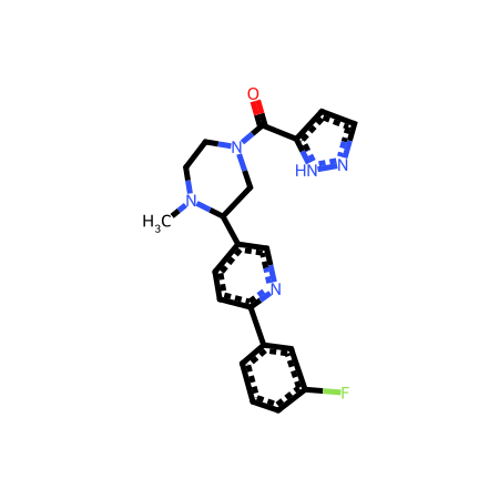 CN1CCN(C(=O)c2ccn[nH]2)CC1c1ccc(-c2cccc(F)c2)nc1